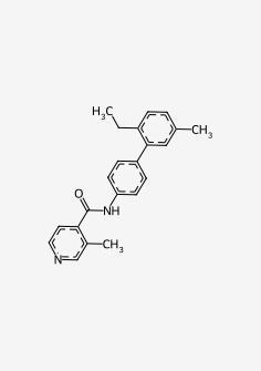 CCc1ccc(C)cc1-c1ccc(NC(=O)c2ccncc2C)cc1